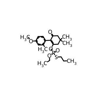 CCCSP(=O)(OCC)OC1=C(c2ccc(OC)cc2C)C(=O)CC(C)(C)C1